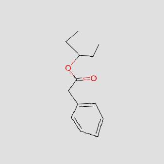 CCC(CC)OC(=O)Cc1ccccc1